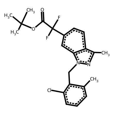 Cc1cccc(Cl)c1Cn1nc(C)c2ccc(C(F)(F)C(=O)OC(C)(C)C)cc21